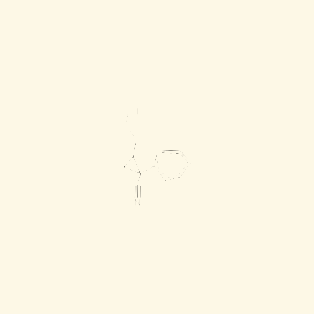 COCC1CC1(C#N)c1ccccc1